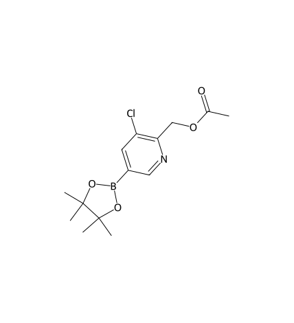 CC(=O)OCc1ncc(B2OC(C)(C)C(C)(C)O2)cc1Cl